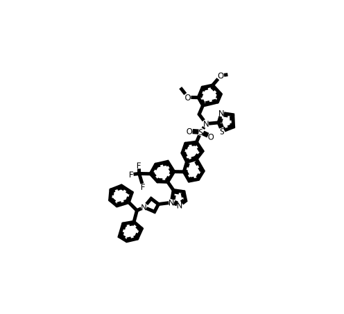 COc1ccc(CN(c2nccs2)S(=O)(=O)c2ccc3c(-c4ccc(C(F)(F)F)cc4-c4ccnn4C4CN(C(c5ccccc5)c5ccccc5)C4)cccc3c2)c(OC)c1